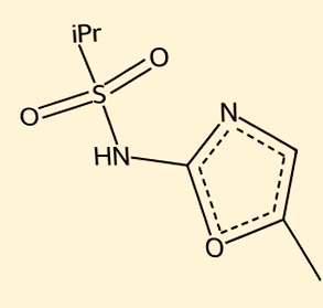 Cc1cnc(NS(=O)(=O)C(C)C)o1